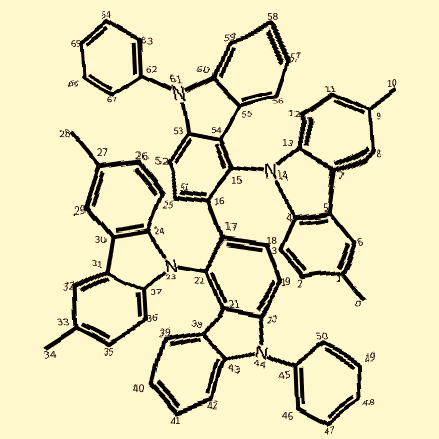 Cc1ccc2c(c1)c1cc(C)ccc1n2-c1c(-c2ccc3c(c2-n2c4ccc(C)cc4c4cc(C)ccc42)c2ccccc2n3-c2ccccc2)ccc2c1c1ccccc1n2-c1ccccc1